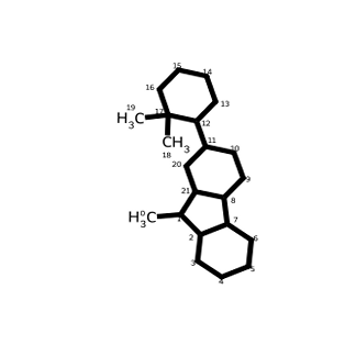 CC1C2CCCCC2C2CCC(C3CCCCC3(C)C)CC12